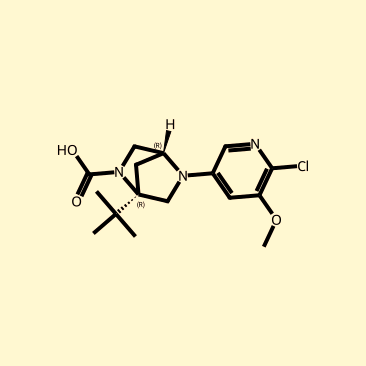 COc1cc(N2C[C@]3(C(C)(C)C)C[C@@H]2CN3C(=O)O)cnc1Cl